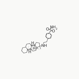 CC1(NCCc2ccc(S(N)(=O)=O)cc2)CC[C@H]2[C@@H]3CCC4CCCC[C@]4(C)[C@@H]3CC[C@@]21C